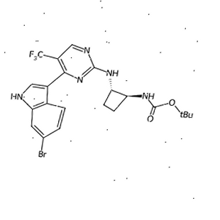 CC(C)(C)OC(=O)N[C@H]1CC[C@@H]1Nc1ncc(C(F)(F)F)c(-c2c[nH]c3cc(Br)ccc23)n1